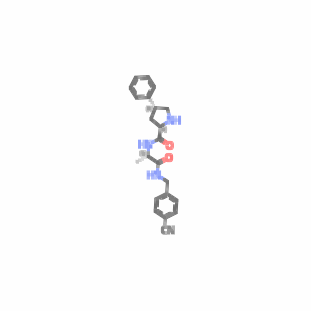 C[C@H](NC(=O)[C@H]1C[C@H](c2ccccc2)CN1)C(=O)NCc1ccc(C#N)cc1